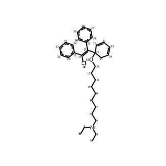 CCN(CC)CCCCCCCCCOC1(C(=C(Cl)c2ccccc2)c2ccccc2)C=CC=CC1